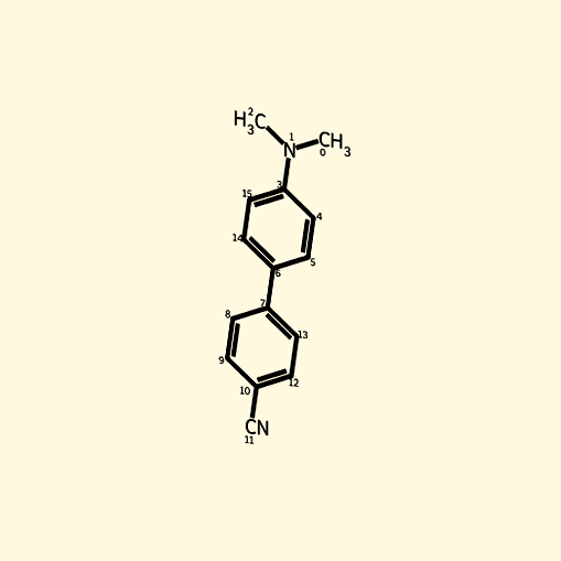 CN(C)c1ccc(-c2ccc(C#N)cc2)cc1